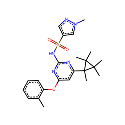 Cc1ccccc1Oc1cc(C2(C)C(C)(C)C2(C)C)nc(NS(=O)(=O)c2cnn(C)c2)n1